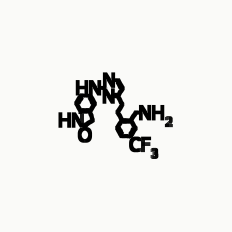 NCc1cc(C(F)(F)F)ccc1CCc1ccnc(Nc2ccc3c(c2)CC(=O)N3)n1